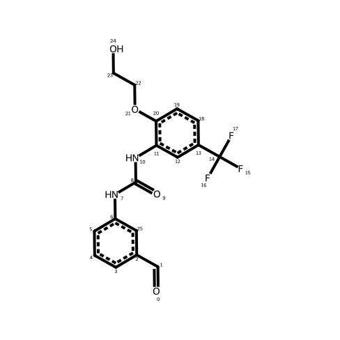 O=Cc1cccc(NC(=O)Nc2cc(C(F)(F)F)ccc2OCCO)c1